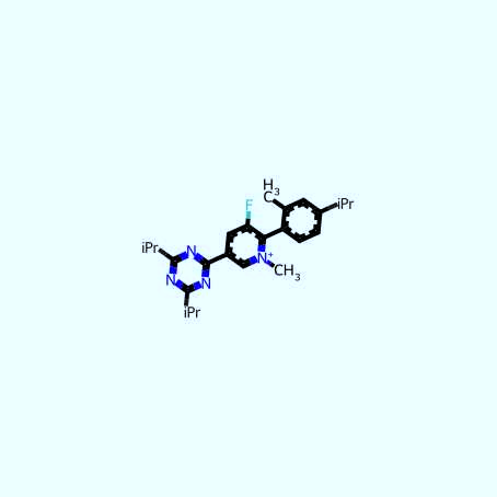 Cc1cc(C(C)C)ccc1-c1c(F)cc(-c2nc(C(C)C)nc(C(C)C)n2)c[n+]1C